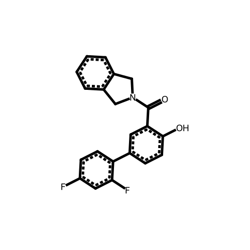 O=C(c1cc(-c2ccc(F)cc2F)ccc1O)N1Cc2ccccc2C1